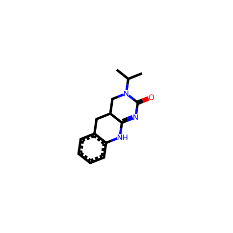 CC(C)N1CC2Cc3ccccc3NC2=NC1=O